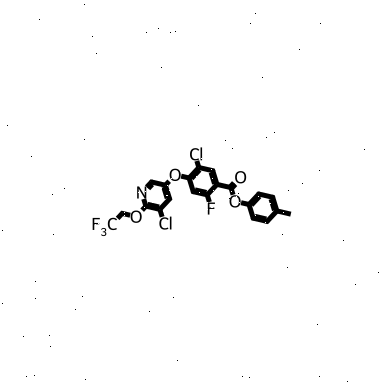 Cc1ccc(OC(=O)c2cc(Cl)c(Oc3cnc(OCC(F)(F)F)c(Cl)c3)cc2F)cc1